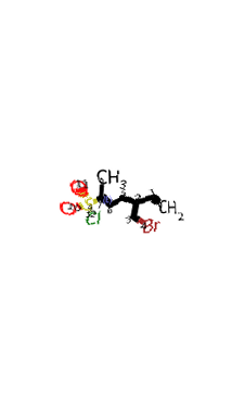 C=CC(CBr)C/C=C(\C)S(=O)(=O)Cl